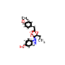 CCC(OC(=O)Cc1ccc(OC)cc1)C(=O)Nc1ccc(O)cc1